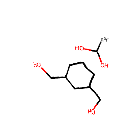 CCCC(O)O.OCC1CCCC(CO)C1